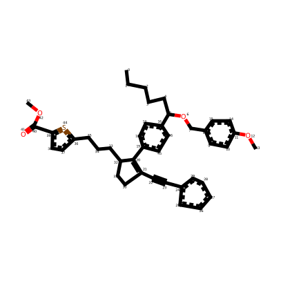 CCCCCC(OCc1ccc(OC)cc1)c1ccc(C2=C(C#Cc3ccccc3)CCC2CCCc2ccc(C(=O)OC)s2)cc1